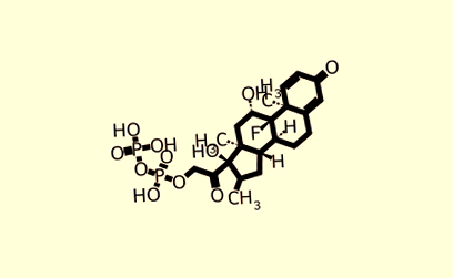 CC1C[C@H]2[C@@H]3CCC4=CC(=O)C=C[C@]4(C)[C@@]3(F)[C@@H](O)C[C@]2(C)[C@@]1(O)C(=O)COP(=O)(O)OP(=O)(O)O